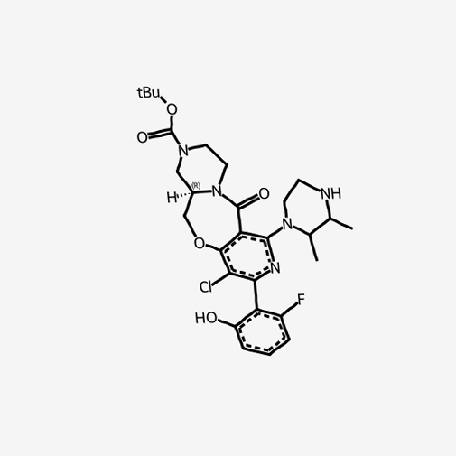 CC1NCCN(c2nc(-c3c(O)cccc3F)c(Cl)c3c2C(=O)N2CCN(C(=O)OC(C)(C)C)C[C@@H]2CO3)C1C